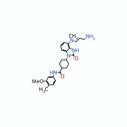 COc1cc(NC(=O)C2CCC(n3c(=O)[nH]c4c(N(C)CCCN)cccc43)CC2)ccc1C